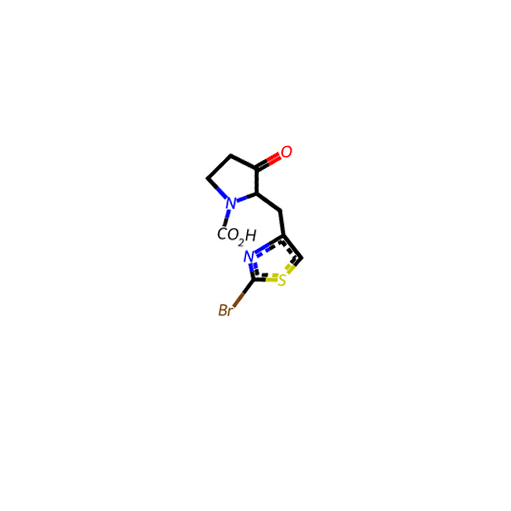 O=C1CCN(C(=O)O)C1Cc1csc(Br)n1